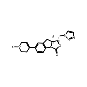 O=C1O[C@@H](Cn2ccnn2)[C@@H]2Cc3cc(C4=CC[S+]([O-])CC4)ccc3N12